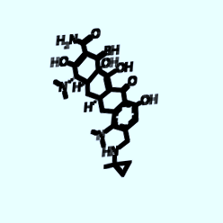 B=C1C(C(N)=O)=C(O)[C@@H](N(C)C)[C@@H]2C[C@@H]3Cc4c(c(O)cc(CNC5(C)CC5)c4N(C)C)C(=O)C3=C(O)[C@]12O